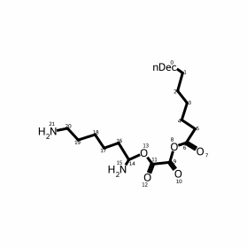 CCCCCCCCCCCCCCCC(=O)OC(=O)C(=O)OC(N)CCCCCN